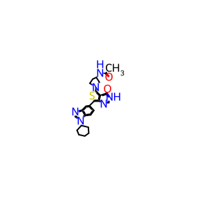 CC(=O)N[C@@H]1CCN(c2sc(-c3ccc4c(c3)ncn4C3CCCCC3)c3nc[nH]c(=O)c23)C1